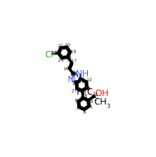 CC(C)(O)c1ccccc1-c1ccc2[nH]c(/C=C/c3cccc(Cl)c3)nc2c1